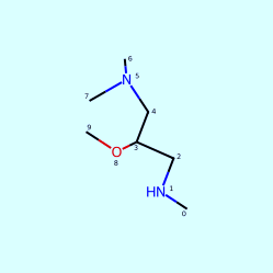 CNCC(CN(C)C)OC